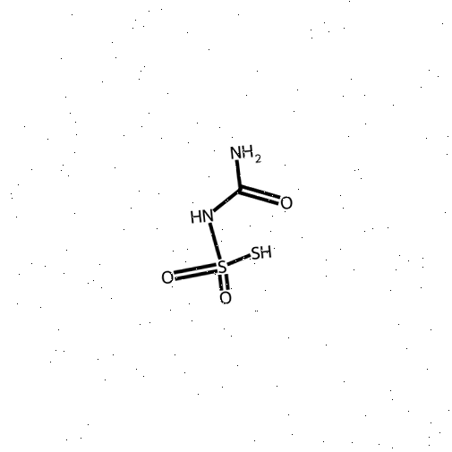 NC(=O)NS(=O)(=O)S